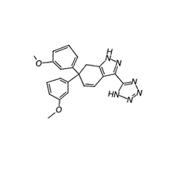 COc1cccc(C2(c3cccc(OC)c3)C=Cc3c(-c4nnn[nH]4)n[nH]c3C2)c1